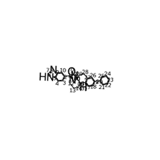 O=C(c1ccc2[nH]cnc2c1)N1CCC[C@@H]2c3ccc(-c4ccccc4)cc3CC[C@H]21